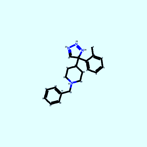 Cc1ccccc1C1(C2CCN(Cc3ccccc3)CC2)C=NN=N1